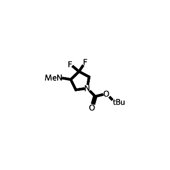 CNC1CN(C(=O)OC(C)(C)C)CC1(F)F